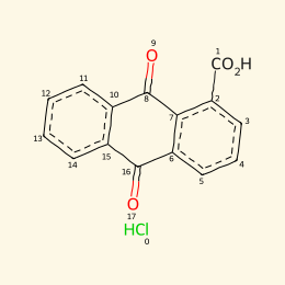 Cl.O=C(O)c1cccc2c1C(=O)c1ccccc1C2=O